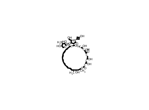 C[C@H]1C[C@H](O)[C@@H](C)/C=C/C=C/C=C/C=C/C=C/C=C/C=C/C(O[C@@H]2OC[C@@H](O)[C@H](N)[C@H]2O)C[C@@H](C(C(=O)N[C@H]2C[C@@H](O)C2)[C@@H](O)CCO)OCC[C@@H](O)CC(O)C(O)CCC(O)CC(O)CC(=O)O1